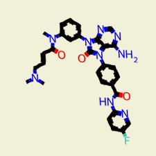 CN(C)C/C=C/C(=O)N(C)c1cccc(-n2c(=O)n(-c3ccc(C(=O)Nc4ccc(F)cn4)cc3)c3c(N)ncnc32)c1